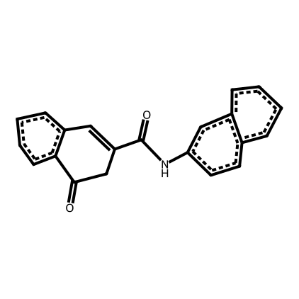 O=C(Nc1ccc2ccccc2c1)C1=Cc2ccccc2C(=O)C1